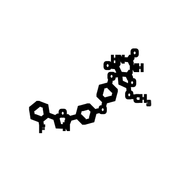 COCCC1(Oc2ccc(Oc3ccc(-c4ncc(-c5ccccc5F)o4)cc3)cc2)C(=O)NC(=O)NC1=O